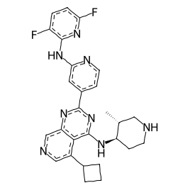 C[C@@H]1CNCC[C@H]1Nc1nc(-c2ccnc(Nc3nc(F)ccc3F)c2)nc2cncc(C3CCC3)c12